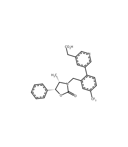 C[C@H]1[C@@H](c2ccccc2)OC(=O)N1Cc1cc(C(F)(F)F)ccc1-c1cncc(CC(=O)O)c1